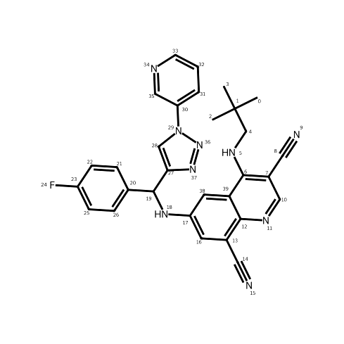 CC(C)(C)CNc1c(C#N)cnc2c(C#N)cc(NC(c3ccc(F)cc3)c3cn(-c4cccnc4)nn3)cc12